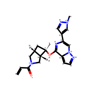 C=CC(=O)N1C[C@@H]2C[C@@](C)(Oc3nc(-c4cnn(C)c4)cn4nccc34)[C@@H]2C1